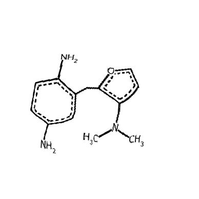 CN(C)c1ccoc1-c1cc(N)ccc1N